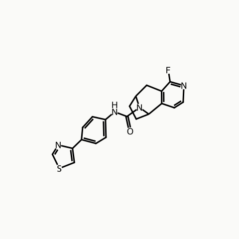 O=C(Nc1ccc(-c2cscn2)cc1)N1C2CCC1c1ccnc(F)c1C2